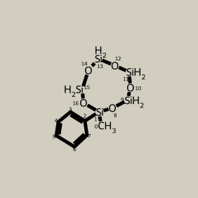 C[Si]1(c2ccccc2)O[SiH2]O[SiH2]O[SiH2]O[SiH2]O1